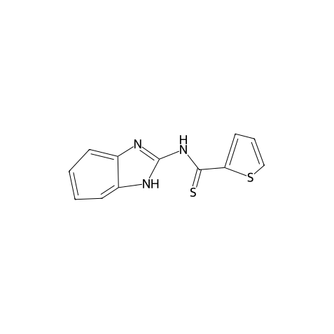 S=C(Nc1nc2ccccc2[nH]1)c1cccs1